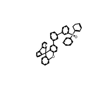 O=P(C1=CC=CCC1)(c1ccccc1)c1cccc(-c2cccc(-c3ccc4c(c3)C3(c5ccccc5O4)c4ccccc4-c4ccccc43)c2)c1